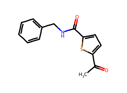 CC(=O)c1ccc(C(=O)NCc2ccccc2)s1